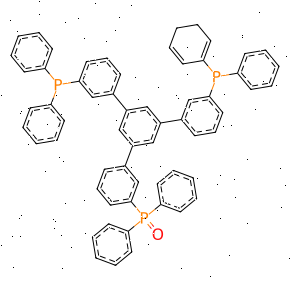 O=P(c1ccccc1)(c1ccccc1)c1cccc(-c2cc(-c3cccc(P(C4=CCCC=C4)c4ccccc4)c3)cc(-c3cccc(P(c4ccccc4)c4ccccc4)c3)c2)c1